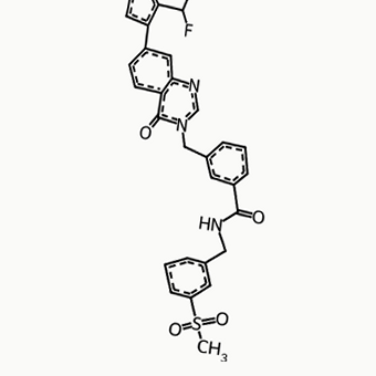 CS(=O)(=O)c1cccc(CNC(=O)c2cccc(Cn3cnc4cc(-c5cn[nH]c5C(F)F)ccc4c3=O)c2)c1